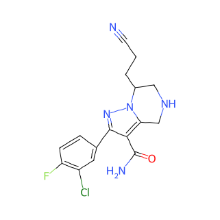 N#CCCC1CNCc2c(C(N)=O)c(-c3ccc(F)c(Cl)c3)nn21